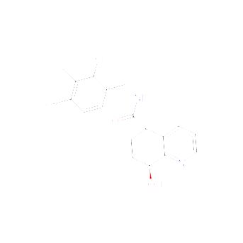 C[C@H](NC(=O)[C@]1(F)CC[C@H](O)c2ncccc21)c1ccc(Cl)c(Cl)c1Cl